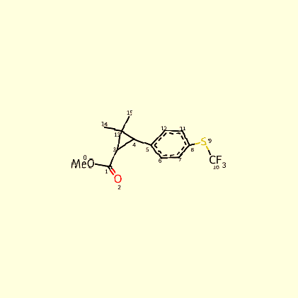 COC(=O)C1C(c2ccc(SC(F)(F)F)cc2)C1(C)C